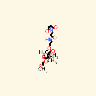 COCCOC(=O)C(C)(Br)CC(C)(C)C(=O)OCCCNC(=O)CCN1C(=O)C=CC1=O